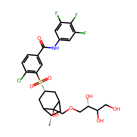 C[C@H]1CC2C[C@@H](S(=O)(=O)c3cc(C(=O)Nc4cc(F)c(F)c(F)c4)ccc3Cl)CC1[C@@]2(O)COC[C@H](O)C(O)CO